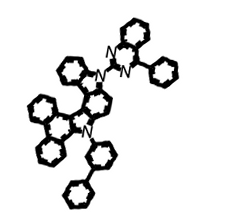 c1ccc(-c2cccc(-n3c4ccc5c(c6ccccc6n5-c5nc(-c6ccccc6)c6ccccc6n5)c4c4c5ccccc5c5ccccc5c43)c2)cc1